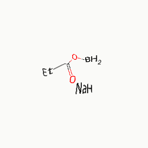 BOC(=O)CC.[NaH]